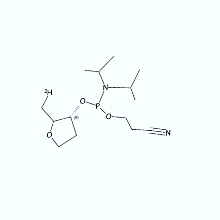 [2H]CC1OCC[C@H]1OP(OCCC#N)N(C(C)C)C(C)C